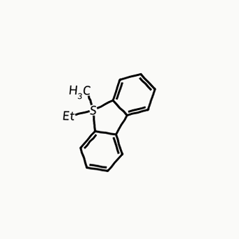 CCS1(C)c2ccccc2-c2ccccc21